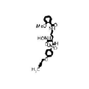 CC#CCOc1ccc(S(=O)(=O)N[C@H](CCCNC(=O)c2ccccc2OC)C(=O)NO)cc1